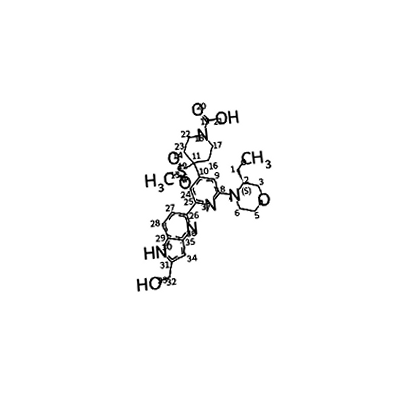 CC[C@H]1COCCN1c1cc(C2(S(C)(=O)=O)CCN(C(=O)O)CC2)cc(-c2ccc3[nH]c(CO)cc3n2)n1